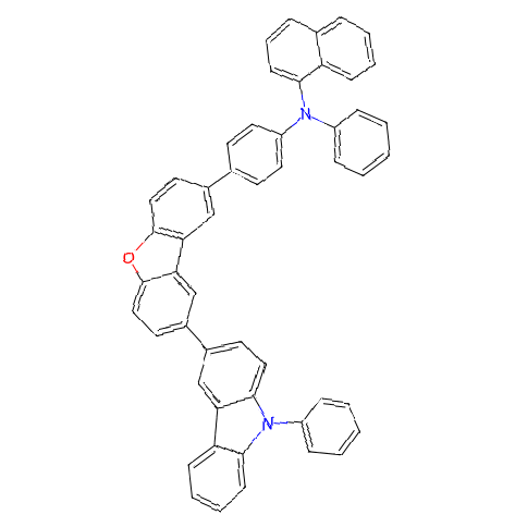 c1ccc(N(c2ccc(-c3ccc4oc5ccc(-c6ccc7c(c6)c6ccccc6n7-c6ccccc6)cc5c4c3)cc2)c2cccc3ccccc23)cc1